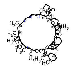 CO[C@@H]1C[C@H](C[C@H]2C3CCN4C(=O)C(=O)[C@]5(O)O[C@@H](CC[C@H]5C)C[C@@H](N5CCCS5(=O)=O)/C(C)=C/C=C/C=C/[C@@H](C)C[C@@H](C)C(=O)[C@H](OC)[C@H](O)/C(C)=C/[C@@H](C)CC[C@@H]2OC(=O)[C@@H]4C3)CC[C@H]1O